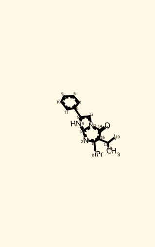 CC(C)c1nc2[nH]c(-c3ccccc3)cn2c(=O)c1C(C)I